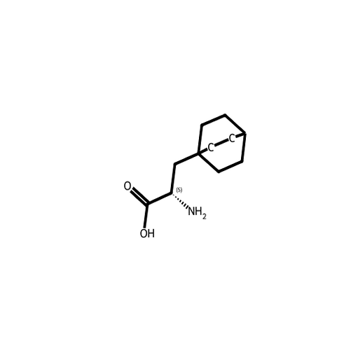 N[C@@H](CC12CCC(CC1)CC2)C(=O)O